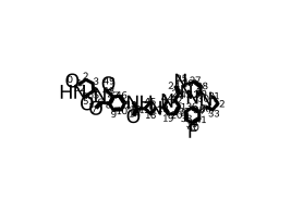 O=C1CCC(N2C(=O)c3ccc(NC(=O)C4CN(c5cccc(-c6cnc7ccc(N8CCC[C@@H]8c8cccc(F)c8)nn67)n5)C4)cc3C2=O)C(=O)N1